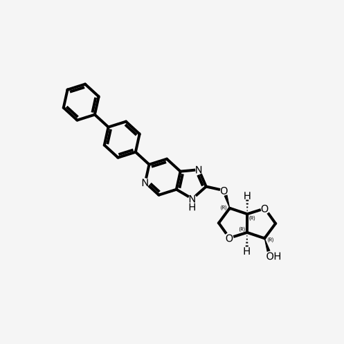 O[C@@H]1CO[C@H]2[C@@H]1OC[C@H]2Oc1nc2cc(-c3ccc(-c4ccccc4)cc3)ncc2[nH]1